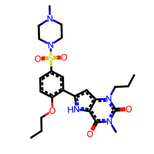 CCCOc1ccc(S(=O)(=O)N2CCN(C)CC2)cc1-c1cc2c([nH]1)c(=O)n(C)c(=O)n2CCC